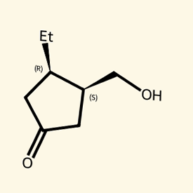 CC[C@@H]1CC(=O)C[C@@H]1CO